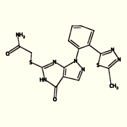 Cc1nnc(-c2ccccc2-n2ncc3c(=O)[nH]c(SCC(N)=O)nc32)s1